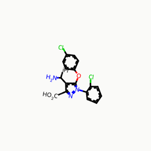 CC(C)C(N)c1c(C(=O)O)nn(-c2ccccc2Cl)c1Oc1ccc(Cl)cc1